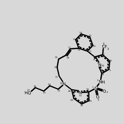 O=S1(=O)Nc2ccc(C(F)(F)F)c(n2)-c2ccccc2/C=C/CCCN(CCCCO)c2cccc1n2